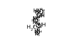 C=C1C(n2ccnn2)=CNN1c1cc(N2C[C@@H]3CCCN[C@@H]3C2)ncn1